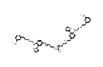 O=[PH](OCCCNCc1ccc(OCCCCCc2cccc(C(F)(F)F)c2)c(-c2ccco2)c1)OCCCNCc1ccc(OCCCCCc2cccc(C(F)(F)F)c2)c(-c2ccco2)c1